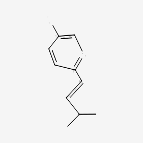 CC(C)/C=C/c1ccc(Br)cn1